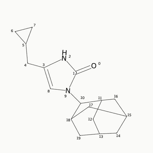 O=c1[nH]c(CC2CC2)cn1C1C2CC3CC(C2)CC1C3